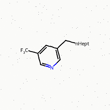 CCCCCCCCc1cncc(C(F)(F)F)c1